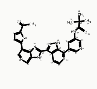 CC(=O)c1ccc(-c2cncc3[nH]c(-c4n[nH]c5c(-c6cncc(NC(=O)C(C)(C)C)c6)nccc45)nc23)s1